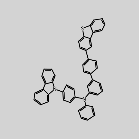 c1ccc(N(c2ccc(-n3c4ccccc4c4ccccc43)cc2)c2cccc(-c3ccc(-c4ccc5sc6ccccc6c5c4)cc3)c2)cc1